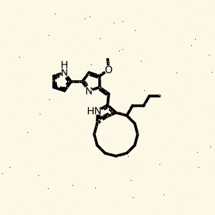 CCCCC1CCCCCCCCc2cc1c(C=C1N=C(c3ccc[nH]3)C=C1OC)[nH]2